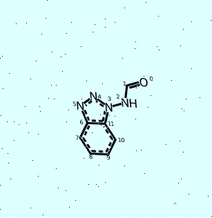 O=CNn1nnc2ccccc21